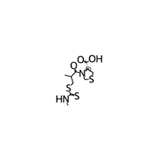 CNC(=S)SCC(C)C(=O)N1CSC[C@H]1C(=O)O